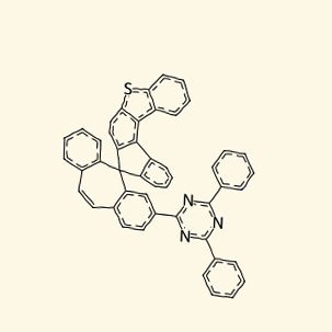 C1=Cc2ccc(-c3nc(-c4ccccc4)nc(-c4ccccc4)n3)cc2C2(c3ccccc31)c1ccccc1-c1c2ccc2sc3ccccc3c12